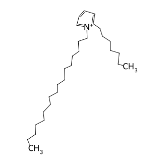 CCCCCCCCCCCCCCCCC[n+]1ccccc1CCCCCCC